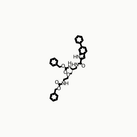 O=C(NCCOC[C@@H](CNC(=O)c1cc2ccc(-c3ccccc3)cc2[nH]1)NC(=O)OCc1ccccc1)OCc1ccccc1